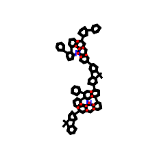 CC1(C)c2ccccc2-c2cc(-c3ccc(N(c4ccccc4-c4ccc(-c5ccc6c(c5)C(C)(C)c5ccc(-c7ccc(N(c8ccc(-c9cccc(-c%10ccccc%10)c9)cc8)c8cccc(-c9ccccc9)c8-c8ccccc8-c8ccccc8)cc7)cc5-6)cc4)c4cccc(-c5ccccc5)c4-c4ccccc4-c4ccccc4)cc3)ccc21